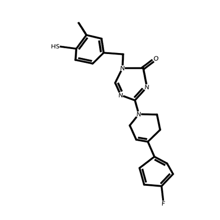 Cc1cc(Cn2cnc(N3CC=C(c4ccc(F)cc4)CC3)nc2=O)ccc1S